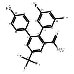 NC(=O)c1cc(C(F)(F)F)cc(-c2ccc(O)cc2)c1-c1cc(F)cc(F)c1